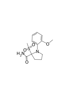 COc1ccccc1N1CCCC1(C(N)=O)S(C)(=O)=O